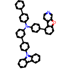 c1ccc(-c2ccc(N(c3ccc(-c4cccc5oc6cnccc6c45)cc3)c3cccc(-c4ccc(-n5c6ccccc6c6ccccc65)cc4)c3)cc2)cc1